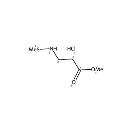 COC(=O)CCNSC.Cl